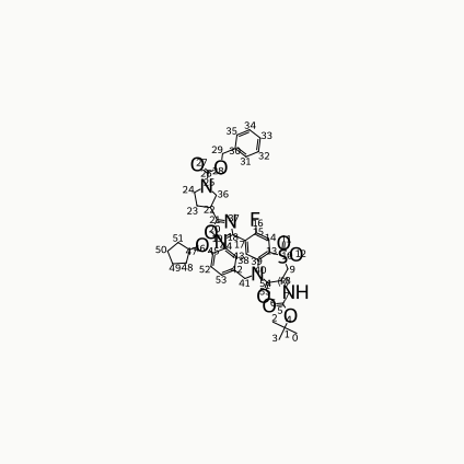 CC(C)(C)OC(=O)N[C@H]1CS(=O)(=O)c2cc(F)c(-c3noc(C4CCN(C(=O)OCc5ccccc5)C4)n3)cc2N(Cc2ccc(OC3CCCC3)cc2)C1=O